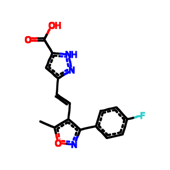 Cc1onc(-c2ccc(F)cc2)c1C=Cc1cc(C(=O)O)[nH]n1